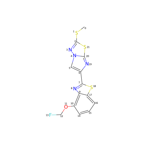 CSc1nn2cc(-c3nc4c(OCF)cccc4s3)nc2s1